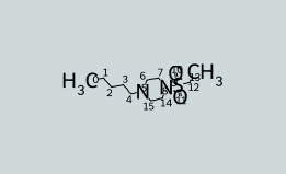 CCCCCN1CCN(S(=O)(=O)CC)CC1